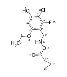 CCOc1cc(O)c(Cl)c(F)c1CNOC(=O)C1CC1